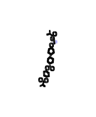 C=C(C)C(=O)O/C=C\Oc1ccc(-c2ccc(C(=O)Oc3ccc(OC(=O)C(=C)C)cc3)cc2)cc1